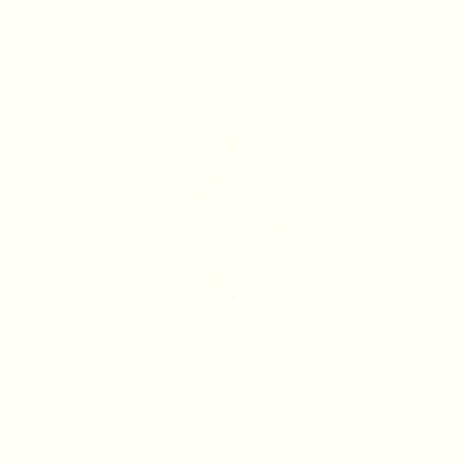 CC(C)(C)CCC(=O)O.CC(C)(C)OOC(C)(C)C